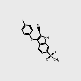 CS(=O)(=O)c1ccc2c(Sc3ccc(F)cc3)c(C#N)[nH]c2c1